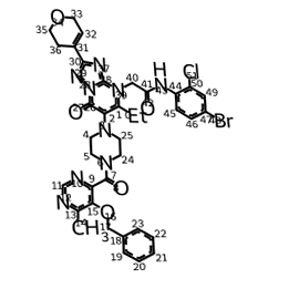 CCc1c(N2CCN(C(=O)c3ncnc(C)c3OCc3ccccc3)CC2)c(=O)n2nc(C3=CCOCC3)nc2n1CC(=O)Nc1ccc(Br)cc1Cl